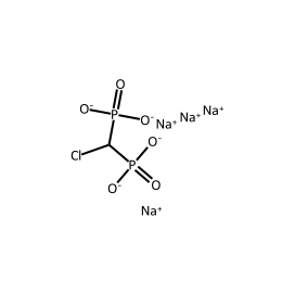 O=P([O-])([O-])C(Cl)P(=O)([O-])[O-].[Na+].[Na+].[Na+].[Na+]